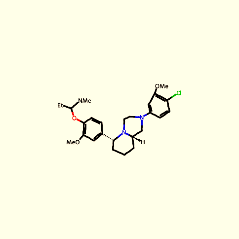 CCC(NC)Oc1ccc([C@H]2CCC[C@H]3CN(c4ccc(Cl)c(OC)c4)CCN32)cc1OC